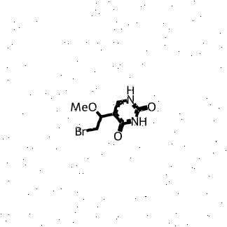 COC(CBr)c1c[nH]c(=O)[nH]c1=O